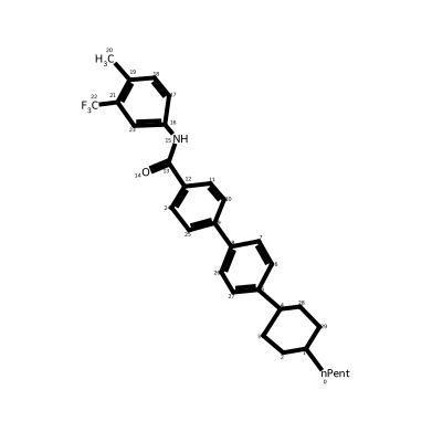 CCCCCC1CCC(c2ccc(-c3ccc(C(=O)Nc4ccc(C)c(C(F)(F)F)c4)cc3)cc2)CC1